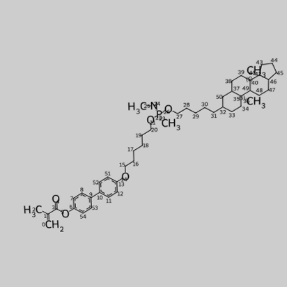 C=C(C)C(=O)Oc1ccc(-c2ccc(OCCCCCCOP(C)(=NC)OCCCCCC3CC[C@@]4(C)C(CC[C@@]5(C)C6CCCC6CCC45)C3)cc2)cc1